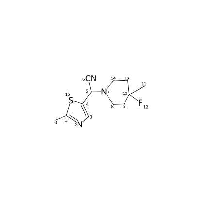 Cc1ncc(C(C#N)N2CCC(C)(F)CC2)s1